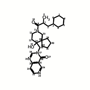 CC(CC1CCCCC1)C(=O)N1CCC(O)(Cn2cnc3ccncc3c2=O)C2(CCCC2)C1